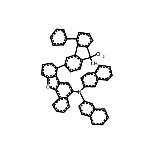 CC1(C)c2ccc(-c3cccc4oc5c6ccccc6c(N(c6ccc7ccccc7c6)c6ccc7ccccc7c6)cc5c34)cc2-c2c(-c3ccccc3)cccc21